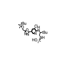 CC(C)(C)C(CNC(=O)O)Nc1ncc(-c2nnc(CO[Si](C)(C)C(C)(C)C)o2)cc1Cl